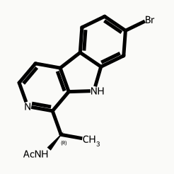 CC(=O)N[C@H](C)c1nccc2c1[nH]c1cc(Br)ccc12